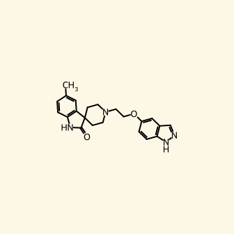 Cc1ccc2c(c1)C1(CCN(CCOc3ccc4[nH]ncc4c3)CC1)C(=O)N2